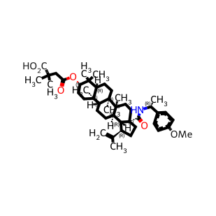 C=C(C)[C@@H]1CC[C@]2(C(=O)N[C@H](C)c3ccc(OC)cc3)CC[C@]3(C)[C@H](CC[C@@H]4[C@@]5(C)CC[C@H](OC(=O)CC(C)(C)C(=O)O)C(C)(C)[C@@H]5CC[C@]43C)[C@@H]12